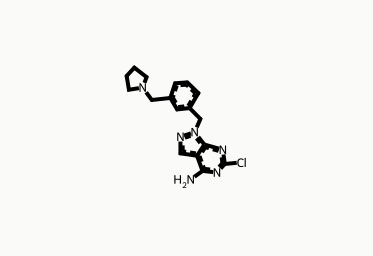 Nc1nc(Cl)nc2c1cnn2Cc1cccc(CN2CCCC2)c1